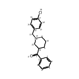 O=C(c1ccccc1)C1CCCN(Cc2ccc(Cl)cc2)C1